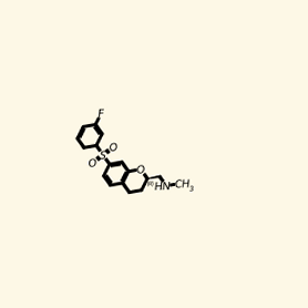 CNC[C@H]1CCc2ccc(S(=O)(=O)C3C=C(F)C=CC3)cc2O1